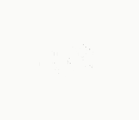 CC1(C)CN(c2snc(Cl)c2C#N)CCO1